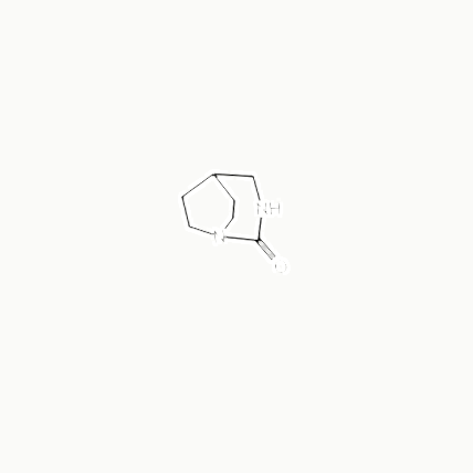 O=C1NCC2CCN1CC2